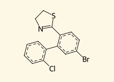 Clc1ccccc1-c1cc(Br)ccc1C1=NCCS1